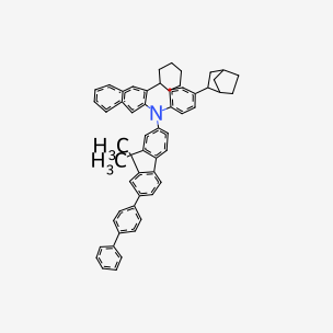 CC1(C)c2cc(-c3ccc(-c4ccccc4)cc3)ccc2-c2ccc(N(c3ccc(C4CC5CCC4C5)cc3)c3cc4ccccc4cc3C3CCCCC3)cc21